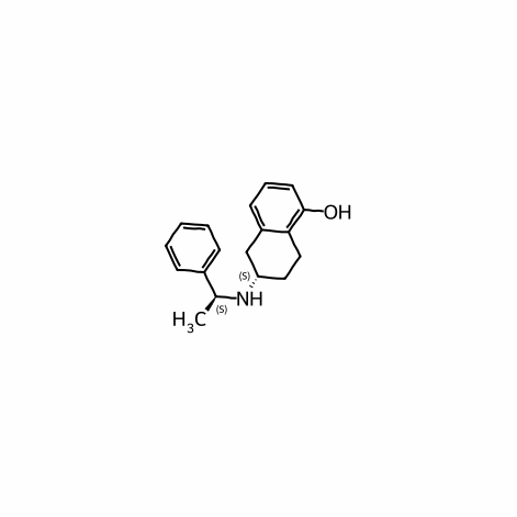 C[C@H](N[C@H]1CCc2c(O)cccc2C1)c1ccccc1